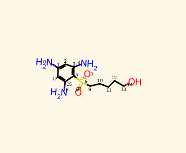 Nc1cc(N)c(S(=O)(=O)CCCCCO)c(N)c1